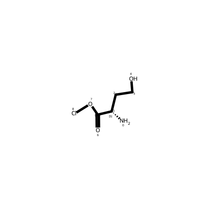 N[C@@H](CCO)C(=O)OCl